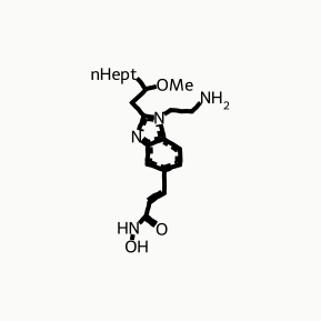 CCCCCCCC(Cc1nc2cc(C=CC(=O)NO)ccc2n1CCN)OC